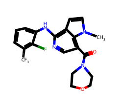 Cn1ccc2c(Nc3cccc(C(F)(F)F)c3F)ncc(C(=O)N3CCOCC3)c21